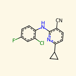 N#Cc1ccc(C2CC2)nc1Nc1ccc(F)cc1Cl